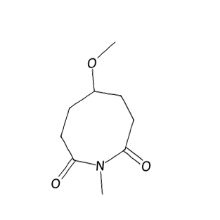 COC1CCC(=O)N(C)C(=O)CC1